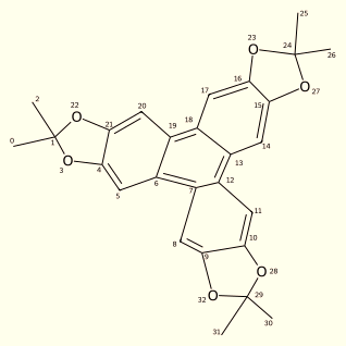 CC1(C)Oc2cc3c4cc5c(cc4c4cc6c(cc4c3cc2O1)OC(C)(C)O6)OC(C)(C)O5